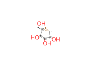 OC[C@H]1S[CH][C@H](O)[C@@H](O)[C@H]1O